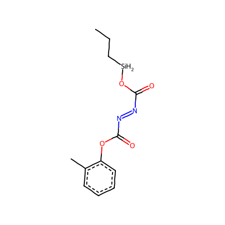 CCC[SiH2]OC(=O)N=NC(=O)Oc1ccccc1C